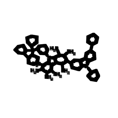 Bc1c(B)c(B)c2c(c1B)c1c(B)c(-c3ccc4c(c3)c3cc(-c5ccccc5)ccc3n4-c3ccccc3)c(B)c(B)c1n2-c1cccc(C2(c3ccccc3)c3ccccc3-c3ccccc32)c1